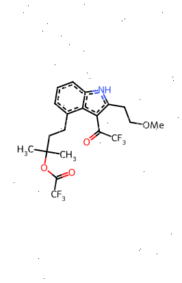 COCCc1[nH]c2cccc(CCC(C)(C)OC(=O)C(F)(F)F)c2c1C(=O)C(F)(F)F